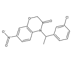 CC(c1cccc(Cl)c1)N1C(=O)COc2cc([N+](=O)[O-])ccc21